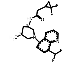 C[C@H]1C[C@@H](NC(=O)CC2CC2(F)F)CN(c2ccc(C(F)F)c3ncccc23)C1